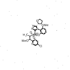 COc1cccc(OC)c1-n1c(NS(=O)(=O)C(C)C(OC)c2ncc(Cl)cn2)nnc1[C@H]1CCCO1